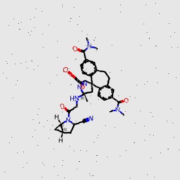 CN(C)C(=O)c1ccc2c(c1)CCc1cc(C(=O)N(C)C)ccc1C21C[C@](C)(NCC(=O)N2C(C#N)C[C@@H]3C[C@@H]32)n2oc(=O)nc21